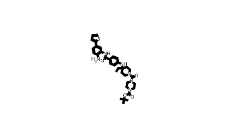 CCC1(Nc2ccc(C(=O)Nc3cc(-c4cccs4)ccc3N)cc2)CCN(C(=O)N2CCN(C(=O)OC(C)(C)C)CC2)CC1